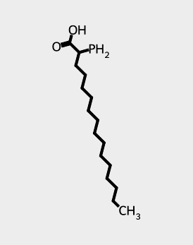 CCCCCCCCCCCCCCC(P)C(=O)O